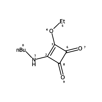 CCCCNc1c(OCC)c(=O)c1=O